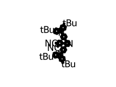 CC(C)(C)c1ccc2c(c1)c1cc(C(C)(C)C)ccc1n2-c1ccc(-c2cncc(-c3ccc(-n4c5ccc(C(C)(C)C)cc5c5cc(C(C)(C)C)ccc54)cc3)c2-c2ccc(C#N)c(C#N)c2)cc1